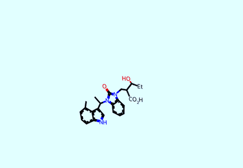 CCC(O)C(Cn1c(=O)n(C(C)c2c[nH]c3cccc(C)c23)c2ccccc21)C(=O)O